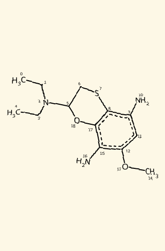 CCN(CC)C1CSc2c(N)cc(OC)c(N)c2O1